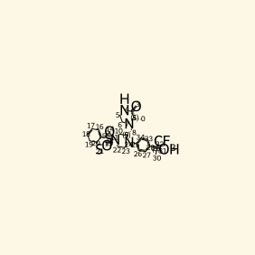 C[C@H]1C(=O)NCCN1C[C@H]1CN(S(=O)(=O)C2=CC=CCC2=S)CCN1c1ccc([C@](C)(O)C(F)(F)F)cc1